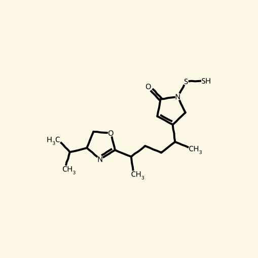 CC(CCC(C)C1=NC(C(C)C)CO1)C1=CC(=O)N(SS)C1